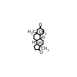 CC12CC[C@@H]3[C@@H](CC[C@]4(C)C(=O)CC[C@@H]34)[C@@]1(C)CCC(=O)C2